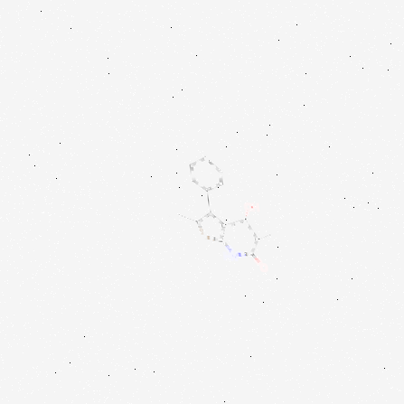 Cc1sc2[nH]c(=O)c(C(=O)O)c(O)c2c1-c1ccccc1